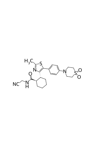 Cc1nc([C@@H]2CCCC[C@H]2C(=O)NCC#N)c(-c2ccc(N3CCS(=O)(=O)CC3)cc2)s1